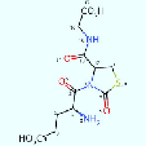 N[C@@H](CCC(=O)O)C(=O)N1C(=O)SCC1C(=O)NCC(=O)O